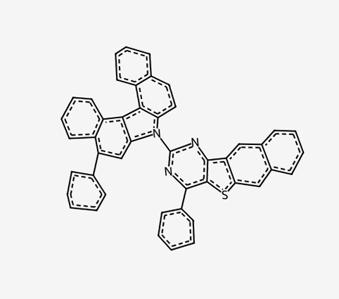 c1ccc(-c2cc3c(c4ccccc24)c2c4ccccc4ccc2n3-c2nc(-c3ccccc3)c3sc4cc5ccccc5cc4c3n2)cc1